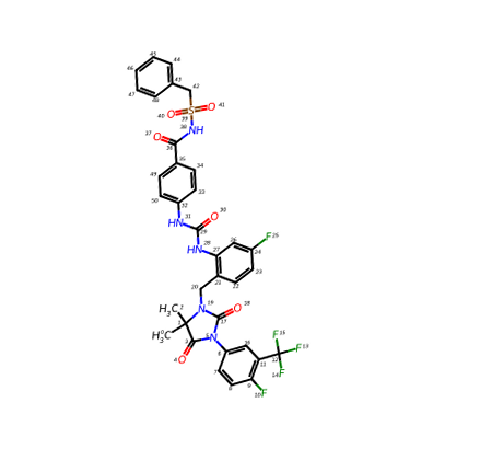 CC1(C)C(=O)N(c2ccc(F)c(C(F)(F)F)c2)C(=O)N1Cc1ccc(F)cc1NC(=O)Nc1ccc(C(=O)NS(=O)(=O)Cc2ccccc2)cc1